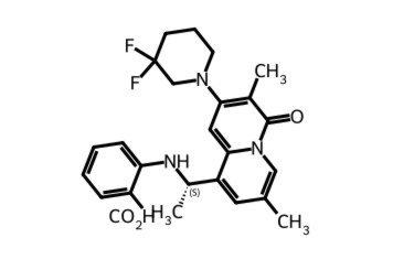 Cc1cc([C@H](C)Nc2ccccc2C(=O)O)c2cc(N3CCCC(F)(F)C3)c(C)c(=O)n2c1